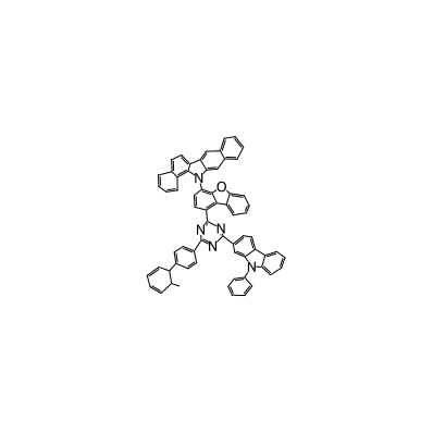 CC1C=CC=CC1c1ccc(-c2nc(-c3ccc4c5ccccc5n(-c5ccccc5)c4c3)nc(-c3ccc(-n4c5cc6ccccc6cc5c5ccc6ccccc6c54)c4oc5ccccc5c34)n2)cc1